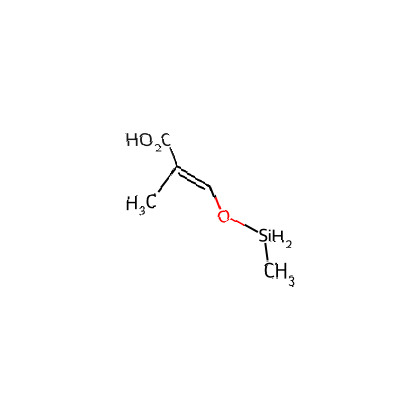 C[SiH2]OC=C(C)C(=O)O